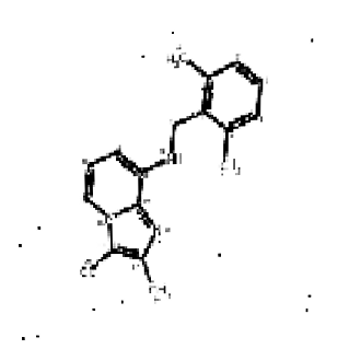 Cc1cccc(C)c1CNc1cccn2c(Cl)c(C)nc12